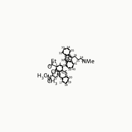 CCC(=O)c1ccc2c(c1)N(CC(C)N(C)C)c1ccccc1S2.CNCCCC12CCC(c3ccccc31)c1ccccc12